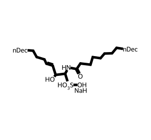 CCCCCCCCCCCCCC=CC(O)C(C)NC(=O)CCCCCCCCCCCCCCCCC.O=S(=O)(O)O.[NaH]